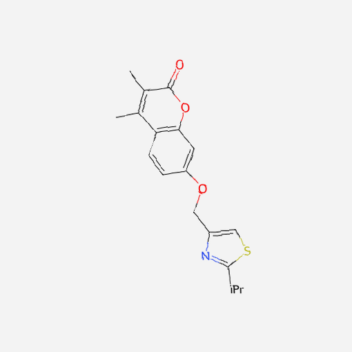 Cc1c(C)c2ccc(OCc3csc(C(C)C)n3)cc2oc1=O